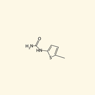 Cc1ccc(NC(N)=O)s1